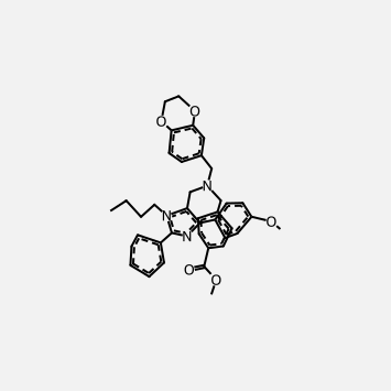 CCCCn1c(-c2ccccc2)nc(-c2ccc(OC)cc2)c1CN(Cc1ccc(C(=O)OC)cc1)Cc1ccc2c(c1)OCCO2